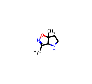 CC1=NO[C@]2(C)CCNC12